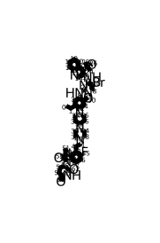 CCc1cc(Nc2ncc(Br)c(Nc3cnc4ccccc4c3P(C)(C)=O)n2)c(OC)cc1N1CCC(N2CCN(CCc3c(F)ccc4c3n(C)c(=O)n4C3CCC(=O)NC3=O)CC2)CC1